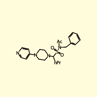 CCCC(N1CCN(c2ccncc2)CC1)S(=O)(=O)N(Cc1ccccc1)C(C)=O